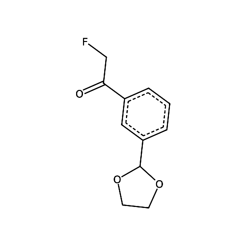 O=C(CF)c1cccc(C2OCCO2)c1